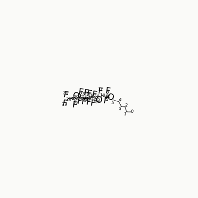 CCCCCCOC(F)(F)C(F)OC(F)(F)C(F)(F)C(F)(F)C(F)(F)OC(F)=C(F)F